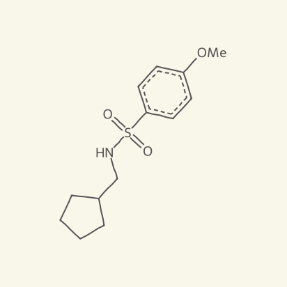 COc1ccc(S(=O)(=O)NCC2CCCC2)cc1